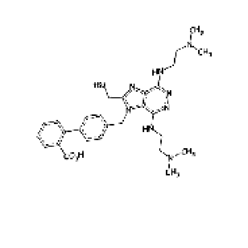 CN(C)CCNc1nnc(NCCN(C)C)c2c1nc(CC(C)(C)C)n2Cc1ccc(-c2ccccc2C(=O)O)cc1